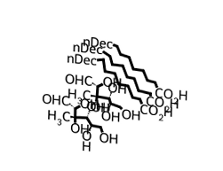 CCCCCCCCCCCCCCCCCC(=O)O.CCCCCCCCCCCCCCCCCC(=O)O.CCCCCCCCCCCCCCCCCC(=O)O.C[C@](O)([C@H](O)[C@H](O)CO)[C@@H](O)C=O.C[C@](O)([C@H](O)[C@H](O)CO)[C@@H](O)C=O